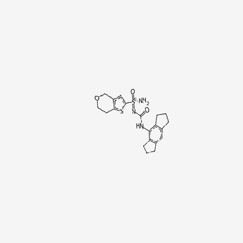 N[S@](=O)(=NC(=O)Nc1c2c(cc3c1CCC3)CCC2)c1cc2c(s1)CCOC2